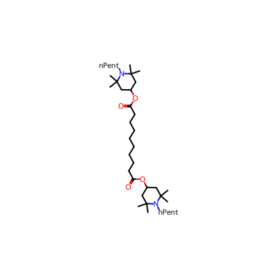 CCCCCN1C(C)(C)CC(OC(=O)CCCCCCCCC(=O)OC2CC(C)(C)N(CCCCC)C(C)(C)C2)CC1(C)C